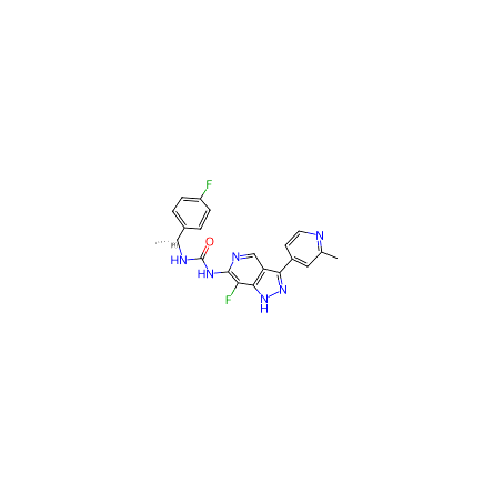 Cc1cc(-c2n[nH]c3c(F)c(NC(=O)N[C@H](C)c4ccc(F)cc4)ncc23)ccn1